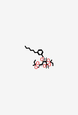 CCCCCCc1cccc(CO[C@@H]2[C@H]3OC(C)(CC)O[C@H]3O[C@@H]2[C@H]2COC(C)(CC)O2)c1